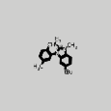 Cc1ccc(C)c(N2c3cc(C(C)(C)C)ccc3N(C)[C@@H]2C)c1